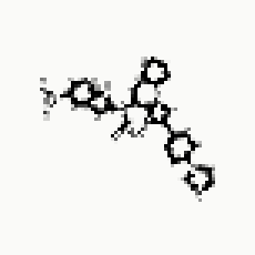 Cn1c(-c2ccc(-n3ccnc3)cc2)cnc1C(Cc1ccccn1)N(C=O)c1cc2cc([N+](=O)[O-])cnc2o1